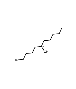 CCCCC[C@@H](O)CCCCO